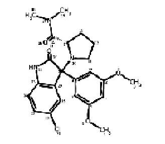 COc1cc(OC)cc(C2(N3CCC[C@H]3C(=O)N(C)C)C(=O)Nc3ccc(Cl)cc32)c1